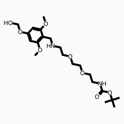 COc1cc(OCO)cc(OC)c1CNCCOCCOCCNC(=O)OC(C)(C)C